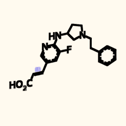 O=C(O)/C=C/c1cnc(NC2CCN(CCc3ccccc3)C2)c(F)c1